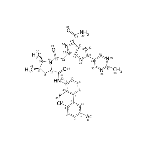 CC(=O)c1ccc(Cl)c(-c2cccc(NC(=O)[C@@H]3C[C@@H](C)[C@@H](C)N3C(=O)Cn3nc(C(N)=O)c4sc(-c5cnc(C)nc5)nc43)c2F)c1